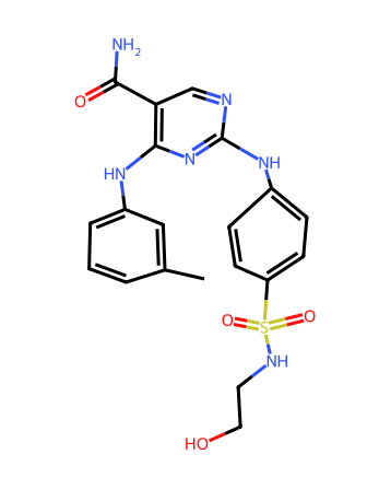 Cc1cccc(Nc2nc(Nc3ccc(S(=O)(=O)NCCO)cc3)ncc2C(N)=O)c1